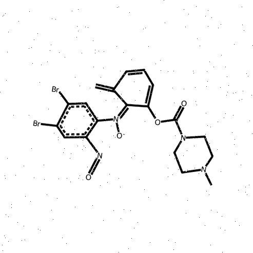 C=C1C=CC=C(OC(=O)N2CCN(C)CC2)/C1=[N+](\[O-])c1cc(Br)c(Br)cc1N=O